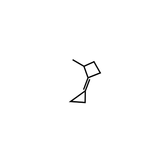 CC1CCC1=C1CC1